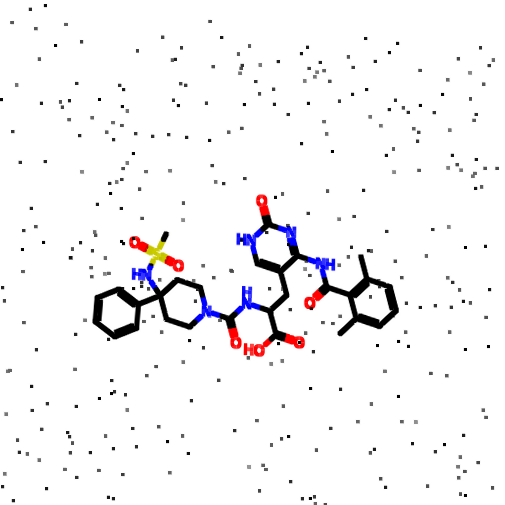 Cc1cccc(C)c1C(=O)Nc1nc(=O)[nH]cc1CC(NC(=O)N1CCC(NS(C)(=O)=O)(c2ccccc2)CC1)C(=O)O